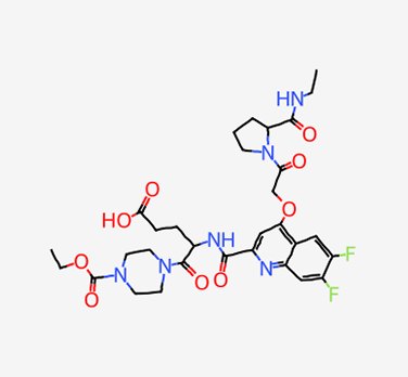 CCNC(=O)C1CCCN1C(=O)COc1cc(C(=O)NC(CCC(=O)O)C(=O)N2CCN(C(=O)OCC)CC2)nc2cc(F)c(F)cc12